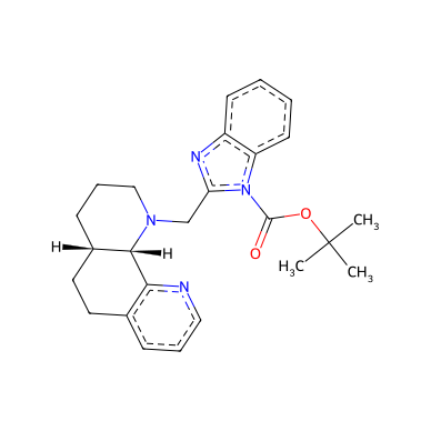 CC(C)(C)OC(=O)n1c(CN2CCC[C@H]3CCc4cccnc4[C@H]32)nc2ccccc21